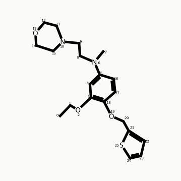 CCOc1cc(N(C)CCN2CCOCC2)ccc1OCc1cccs1